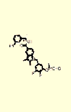 Cc1c(C)n(Cc2cc(F)c(F)c(O[C@@H](C)C=O)c2)c2ccc(C(=O)N[C@@H](C)c3cccc(C(C)C)c3)cc12